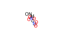 O=NC[C@@H]1OC(=O)N2c3ccc(N4CCOCC4=O)cc3OC[C@@H]12